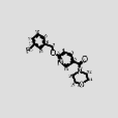 O=C(c1ccc(OCc2cccc(F)c2)nc1)N1CCOCC1